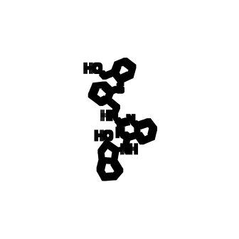 OCc1ccccc1Sc1ccccc1CNc1nc(N[C@H]2c3ccccc3C[C@H]2O)c2ccccc2n1